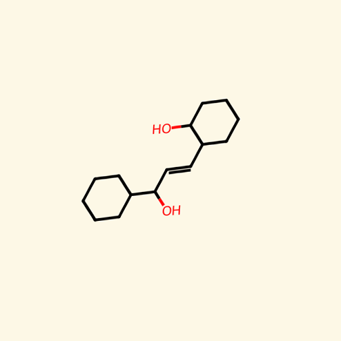 OC(C=CC1CCCCC1O)C1CCCCC1